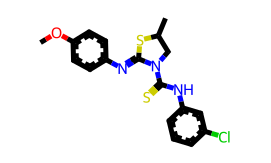 COc1ccc(N=C2SC(C)CN2C(=S)Nc2cccc(Cl)c2)cc1